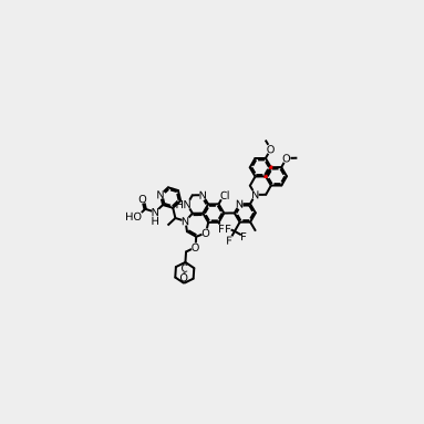 COc1ccc(CN(Cc2ccc(OC)cc2)c2cc(C)c(C(F)(F)F)c(-c3c(F)c4c5c(c3Cl)=NCNC=5N(C(C)c3cccnc3NC(=O)O)C=C(OCC35CCC(CC3)OC5)O4)n2)cc1